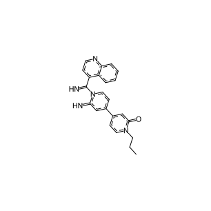 CCCn1ccc(-c2ccn(C(=N)c3ccnc4ccccc34)c(=N)c2)cc1=O